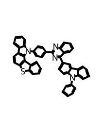 c1ccc(-n2c3ccccc3c3cc(-c4nc(-c5ccc(-n6c7ccccc7c7ccc8sc9ccccc9c8c76)cc5)nc5ccccc45)ccc32)cc1